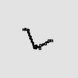 CCCCOCCCCCCCCCn1ccc(C(=O)OCCOCCOCC)c1